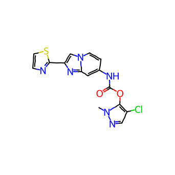 Cn1ncc(Cl)c1OC(=O)Nc1ccn2cc(-c3nccs3)nc2c1